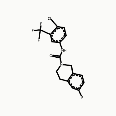 O=C(Nc1ccc(Cl)c(C(F)(F)F)c1)N1CCc2cc(F)ccc2C1